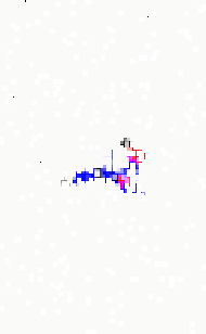 CC(=O)N1CCN(c2ccc(Nc3ncc(C(N)=O)c(NCC4CCCN(C(=O)OCc5ccccc5)C4)n3)cc2)CC1